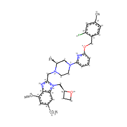 CC[C@H]1CN(c2cccc(OCc3ccc(C#N)cc3F)n2)CCN1Cc1nc2c(OC)cc(C(=O)O)cc2n1C[C@@H]1CCO1